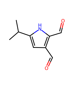 CC(C)c1cc(C=O)c(C=O)[nH]1